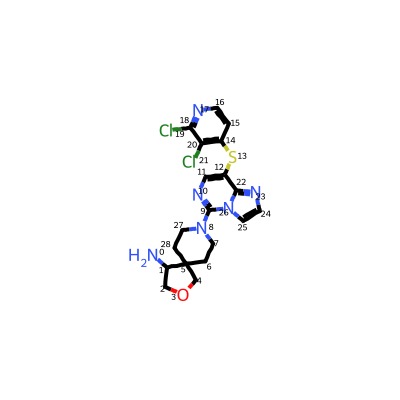 NC1COCC12CCN(c1ncc(Sc3ccnc(Cl)c3Cl)c3nccn13)CC2